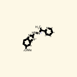 COc1ccc2sc(N/N=C(\C)c3ccccn3)nc2c1